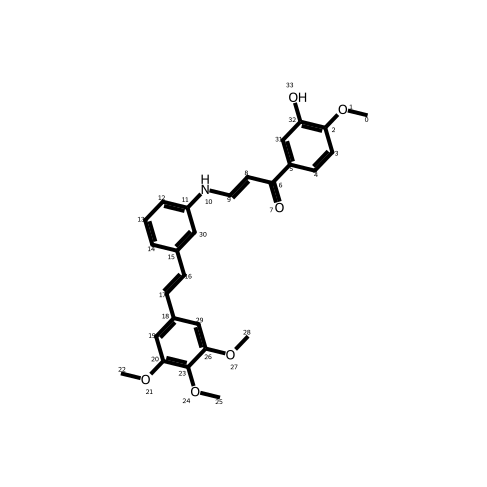 COc1ccc(C(=O)C=CNc2cccc(C=Cc3cc(OC)c(OC)c(OC)c3)c2)cc1O